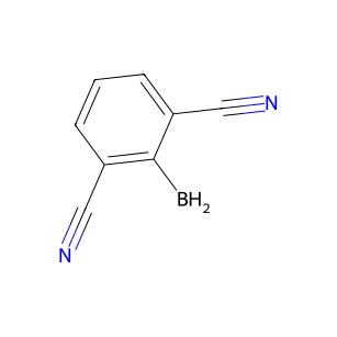 Bc1c(C#N)cccc1C#N